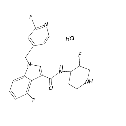 Cl.O=C(NC1CCNCC1F)c1cn(Cc2ccnc(F)c2)c2cccc(F)c12